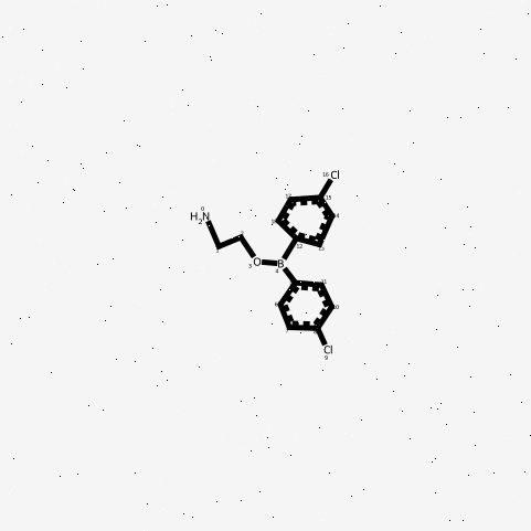 NCCOB(c1ccc(Cl)cc1)c1ccc(Cl)cc1